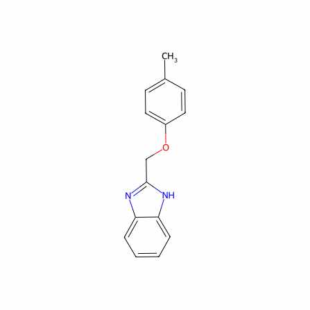 Cc1ccc(OCc2nc3ccccc3[nH]2)cc1